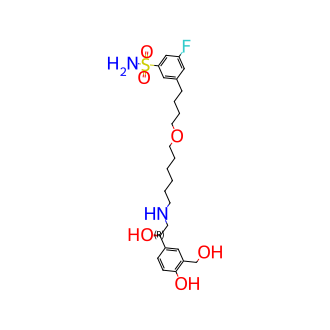 NS(=O)(=O)c1cc(F)cc(CCCCOCCCCCCNC[C@H](O)c2ccc(O)c(CO)c2)c1